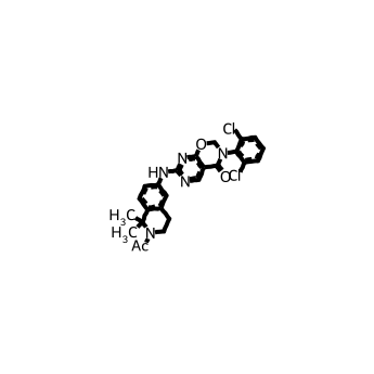 CC(=O)N1CCc2cc(Nc3ncc4c(n3)OCN(c3c(Cl)cccc3Cl)C4=O)ccc2C1(C)C